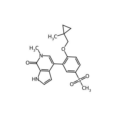 Cn1cc(-c2cc(S(C)(=O)=O)ccc2OCC2(C)CC2)c2cc[nH]c2c1=O